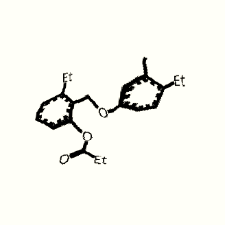 CCC(=O)Oc1cccc(CC)c1COc1ccc(CC)c(C)c1